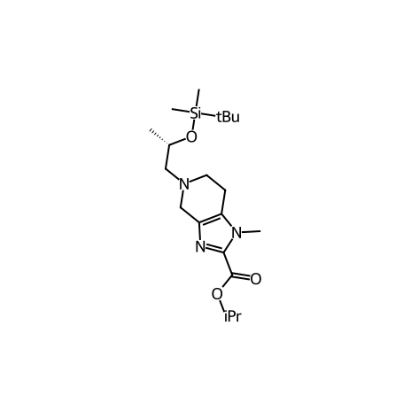 CC(C)OC(=O)c1nc2c(n1C)CCN(C[C@H](C)O[Si](C)(C)C(C)(C)C)C2